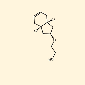 OCCO[C@@H]1C[C@H]2CC=CC[C@H]2C1